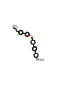 C=CCCc1ccc(-c2ccc(OC(F)(F)C3CCC(c4ccc(C5CCC(CCCCC)CC5)cc4F)CC3)cc2)cc1F